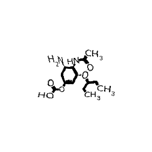 CCC(CC)O[C@@H]1C=C(OC(=O)O)C[C@H](N)[C@H]1NC(C)=O